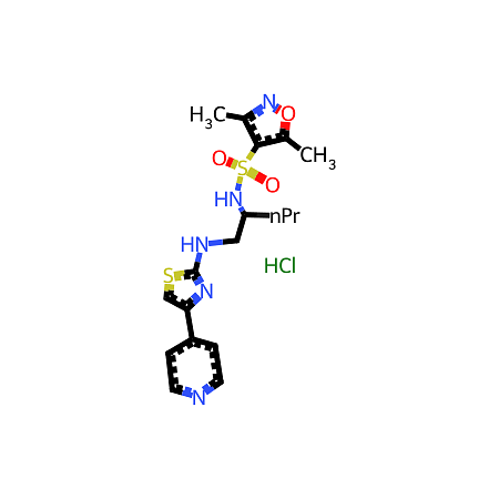 CCCC(CNc1nc(-c2ccncc2)cs1)NS(=O)(=O)c1c(C)noc1C.Cl